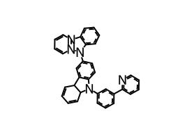 C1=CC2c3cc(N4c5ccccc5N5C=CC=CN54)ccc3N(c3cccc(-c4ccccn4)c3)C2C=C1